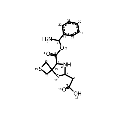 NC(OC(=O)C1NC(CC(=O)O)SC12CSC2)c1ccccc1